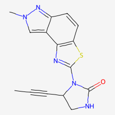 CC#CC1CNC(=O)N1c1nc2c(ccc3nn(C)cc32)s1